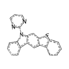 c1cnc(-n2c3ccccc3c3cc4c(cc32)sc2ccccc24)nc1